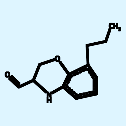 CCCc1cccc2c1OCC(C=O)N2